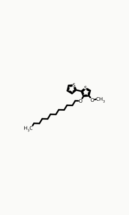 CCCCCCCCCCCCOc1c(OC)csc1-c1cccs1